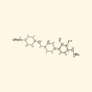 CCCCCC1CCC(OCC2CCC(c3ccc(OCCCC)c(F)c3F)CO2)CC1